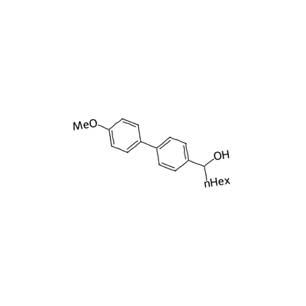 CCCCCCC(O)c1ccc(-c2ccc(OC)cc2)cc1